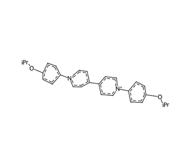 CC(C)Oc1ccc(-[n+]2ccc(-c3cc[n+](-c4ccc(OC(C)C)cc4)cc3)cc2)cc1